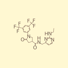 CCNc1nccc(CNC(=O)C2CC(=O)N(c3cc(C(F)(F)F)cc(C(F)(F)F)c3)C2)n1